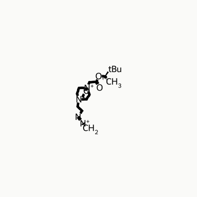 C=[N+]=NCC[N+]12CC[N+](CC(=O)O[C@H](C)C(C)(C)C)(CC1)CC2